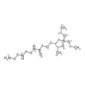 CCO[Si](CCCOCC(=O)NCCNCCN)(OCC)OCC